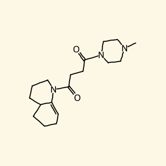 CN1CCN(C(=O)CCC(=O)N2CCCC3CCCC=C32)CC1